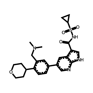 CN(C)Cc1cc(-c2cnc3[nH]cc(C(=O)NS(=O)(=O)C4CC4)c3c2)ccc1C1CCOCC1